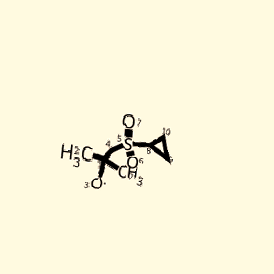 CC(C)([O])CS(=O)(=O)C1CC1